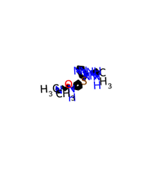 Cc1cc(Nc2nc(Sc3ccc(NC(=O)CCN(C)C)cc3)cc3nccn23)n[nH]1